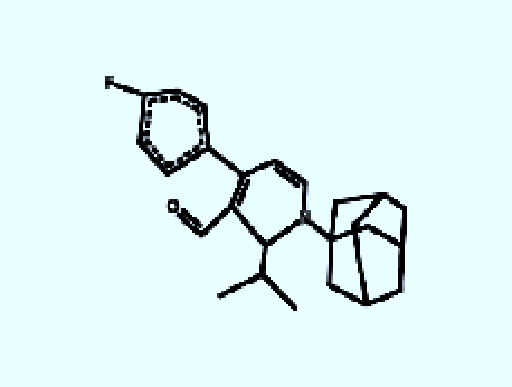 CC(C)C1C(C=O)=C(c2ccc(F)cc2)C=CN1C12CC3CC(CC(C3)C1)C2